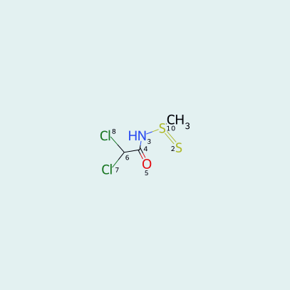 CS(=S)NC(=O)C(Cl)Cl